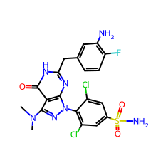 CN(C)c1nn(-c2c(Cl)cc(S(N)(=O)=O)cc2Cl)c2nc(Cc3ccc(F)c(N)c3)[nH]c(=O)c12